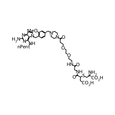 CCCCCNc1nc(N)nc2ccn(Cc3ccc(CN4CCN(C(=O)CCOCCOCCNC(=O)CNC(=O)C(CC(=O)O)SC[C@H](N)C(=O)O)CC4)cc3OC)c12